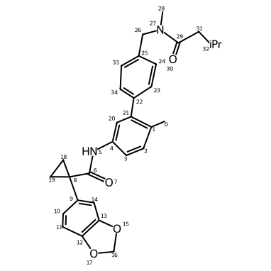 Cc1ccc(NC(=O)C2(c3ccc4c(c3)OCO4)CC2)cc1-c1ccc(CN(C)C(=O)CC(C)C)cc1